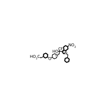 O=C(O)Cc1cccc(OC2CCN(CC(O)(c3cn(Cc4ccccc4)c4cc([N+](=O)[O-])ccc34)C(F)(F)F)CC2)c1